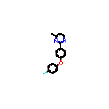 Cc1ccnc(-c2ccc(Oc3ccc(F)cc3)cc2)n1